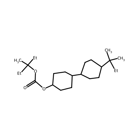 CCC(C)(CC)OC(=O)OC1CCC(C2CCC(C(C)(C)CC)CC2)CC1